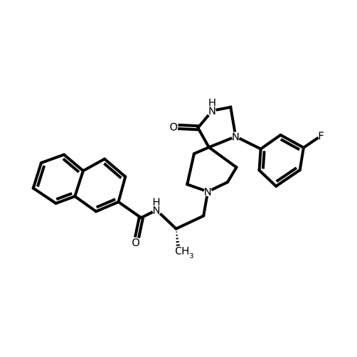 C[C@@H](CN1CCC2(CC1)C(=O)NCN2c1cccc(F)c1)NC(=O)c1ccc2ccccc2c1